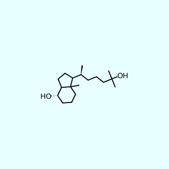 C[C@@H](CCCC(C)(C)O)C1CCC2[C@@H](O)CCCC12C